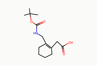 CC(C)(C)OC(=O)NCC1=C(CC(=O)O)CCCC1